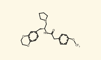 O=C(Cc1ccc(OC(F)(F)F)cc1)N[C@@H](Cc1ccc2c(c1)OCCO2)CN1CCCC1